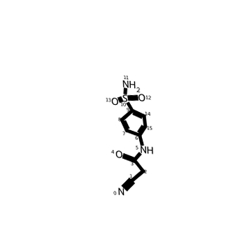 N#CCC(=O)Nc1ccc(S(N)(=O)=O)cc1